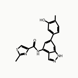 Cc1nc(C(=O)Nc2cc(-c3ccc(C)c(O)c3)cc3[nH]ncc23)cs1